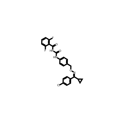 O=C(NC(=O)c1c(F)cccc1F)Nc1ccc(CON=C(c2ccc(Cl)cc2)C2CC2)cc1